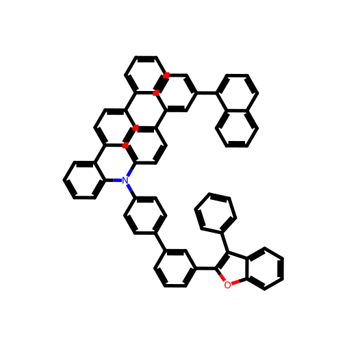 c1ccc(-c2ccc(-c3ccccc3N(c3ccc(-c4cccc(-c5oc6ccccc6c5-c5ccccc5)c4)cc3)c3ccc(-c4cccc(-c5cccc6ccccc56)c4)cc3)cc2)cc1